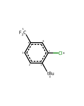 CC(C)(C)c1ccc(C(F)(F)F)cc1Cl